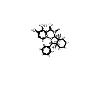 CN1C(=O)c2c(O)c(=O)ccn2N2C(c3ccccc3)[C@H]3CCCC[C@H]3C12